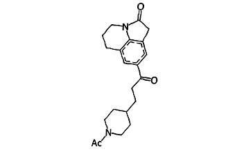 CC(=O)N1CCC(CCC(=O)c2cc3c4c(c2)CC(=O)N4CCC3)CC1